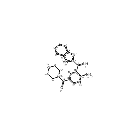 N=C(c1nc2ccccc2[nH]1)c1cc(C(=O)N2CCOCC2)cnc1N